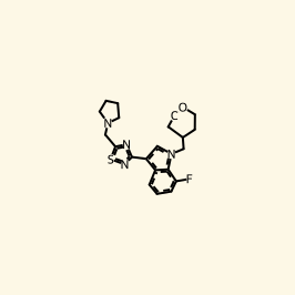 Fc1cccc2c(-c3nsc(CN4CCCC4)n3)cn(CC3CCOCC3)c12